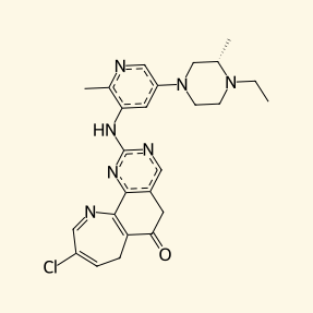 CCN1CCN(c2cnc(C)c(Nc3ncc4c(n3)C3=C(CC=C(Cl)C=N3)C(=O)C4)c2)C[C@@H]1C